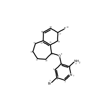 Nc1ncc(Br)cc1OC1CCCCC2=C1CC(F)C=C2